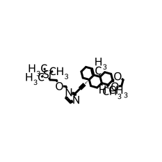 CC1(C)[C@@H]2CC[C@@]3(C#Cc4nccn4COCC[Si](C)(C)C)CCCC=C3[C@@]2(C)CCC12OCCO2